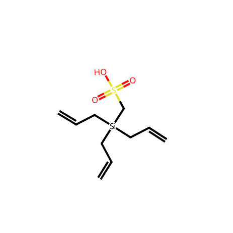 C=CC[Si](CC=C)(CC=C)CS(=O)(=O)O